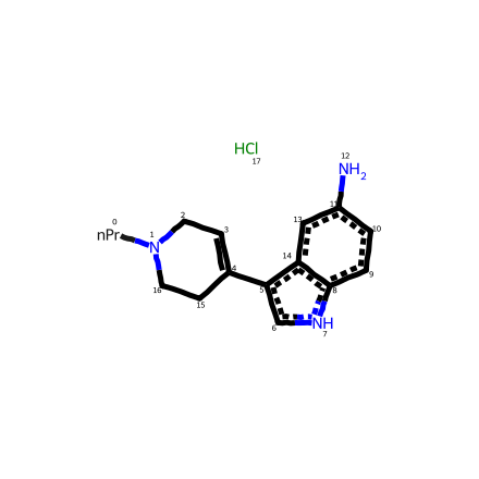 CCCN1CC=C(c2c[nH]c3ccc(N)cc23)CC1.Cl